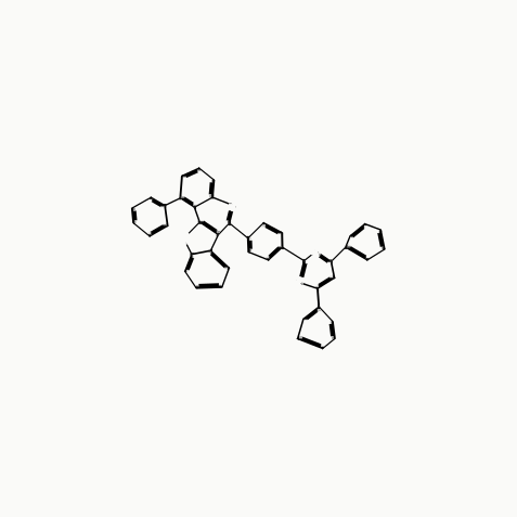 c1ccc(-c2cc(-c3ccccc3)nc(-c3ccc(-c4nc5cccc(-c6ccccc6)c5c5oc6ccccc6c45)cc3)n2)cc1